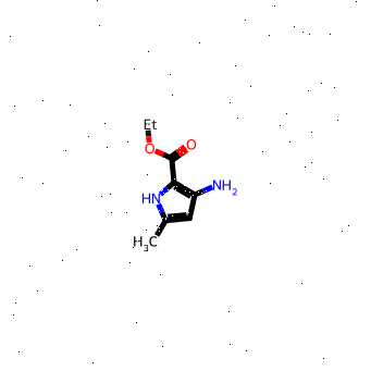 CCOC(=O)c1[nH]c(C)cc1N